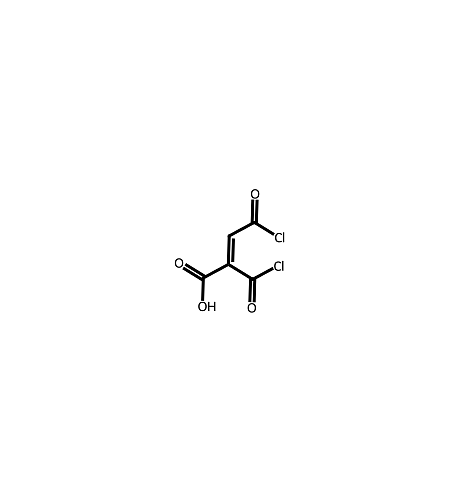 O=C(Cl)C=C(C(=O)O)C(=O)Cl